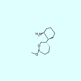 COP1CCC[C@@H]([C@@H]2CCCC[C@@H]2N)CO1